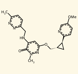 COc1ccc([C@H]2C[C@@H]2COc2cc(NCc3ccc(C)nn3)c(=O)n(C)n2)nc1